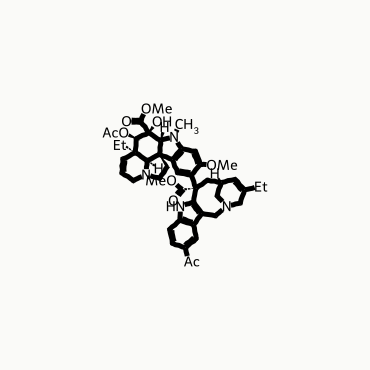 CCC1=C[C@H]2CN(C1)Cc1c([nH]c3ccc(C(C)=O)cc13)[C@@](C(=O)OC)(c1cc3c(cc1OC)N(C)[C@H]1[C@@](O)(C(=O)OC)[C@H](OC(C)=O)[C@]4(CC)C=CCN5CC[C@]31[C@@H]54)C2